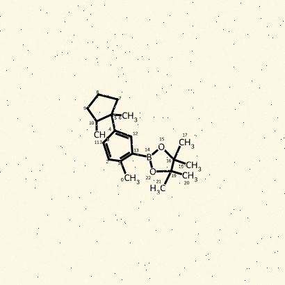 Cc1ccc(C2(C)CCCC2C)cc1B1OC(C)(C)C(C)(C)O1